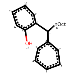 CCCCCCCCC(c1ccccc1)c1ccccc1O